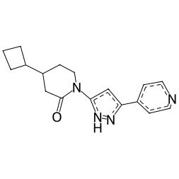 O=C1CC(C2CCC2)CCN1c1cc(-c2ccncc2)n[nH]1